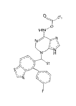 CCC(c1ccc2scnc2c1-c1cccc(F)c1)N1CN=C(NOC(=O)C(F)(F)F)c2nc[nH]c21